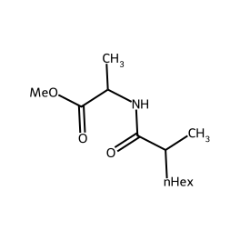 CCCCCCC(C)C(=O)NC(C)C(=O)OC